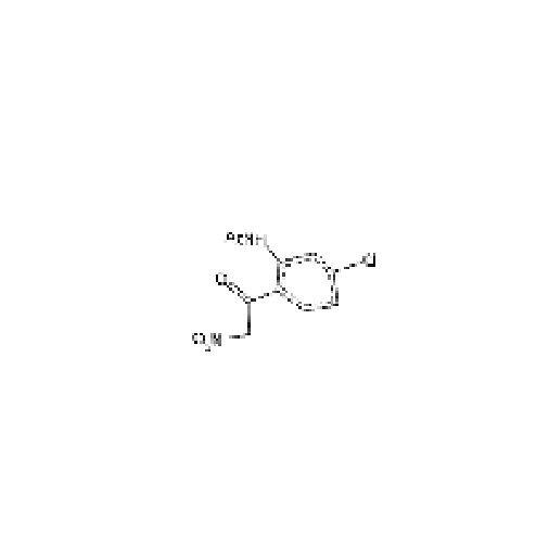 CC(=O)Nc1cc(Cl)ccc1C(=O)C[N+](=O)[O-]